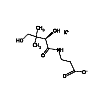 CC(C)(CO)[C@@H](O)C(=O)NCCC(=O)[O-].[K+]